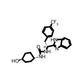 O=C(N[C@H](Cc1ccc(C(F)(F)F)cc1)c1nc2ccccc2[nH]1)N[C@H]1CC[C@H](O)CC1